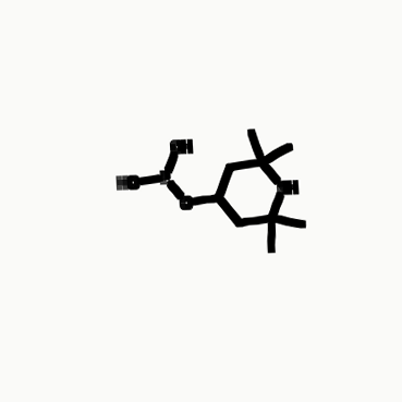 CC1(C)CC(OP(O)O)CC(C)(C)N1